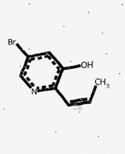 C/C=C\c1ncc(Br)cc1O